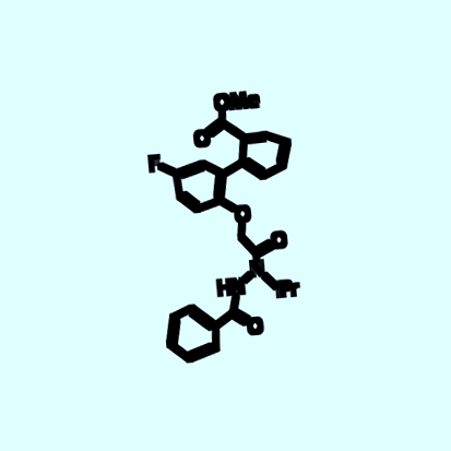 COC(=O)c1ccccc1-c1cc(F)ccc1OCC(=O)N(NC(=O)c1ccccc1)C(C)C